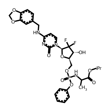 CC(C)OC(=O)C(C)NP(=O)(OC[C@H]1O[C@@H](n2ccc(NCc3ccc4c(c3)OCO4)nc2=O)C(F)(F)[C@@H]1O)Oc1ccccc1